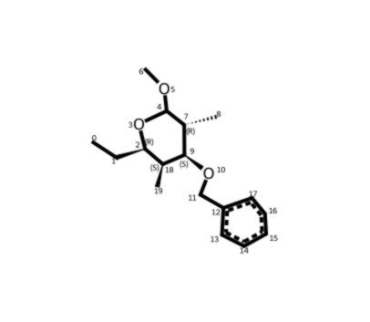 CC[C@H]1OC(OC)[C@H](C)[C@@H](OCc2ccccc2)[C@H]1C